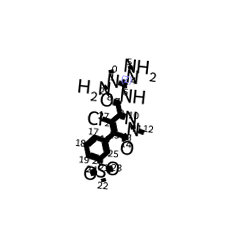 CN(N)/C(=N\N)NC(=O)c1nn(C)c(=O)c(-c2cccc(S(C)(=O)=O)c2)c1Cl